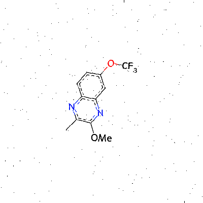 COc1nc2cc(OC(F)(F)F)ccc2nc1C